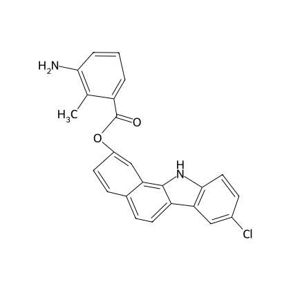 Cc1c(N)cccc1C(=O)Oc1ccc2ccc3c4cc(Cl)ccc4[nH]c3c2c1